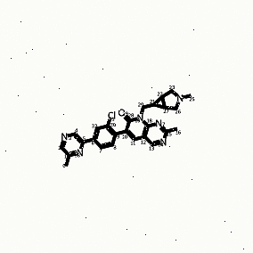 Cc1cncc(-c2ccc(-c3cc4cnc(C)nc4n(CC4C5CN(C)CC54)c3=O)c(Cl)c2)n1